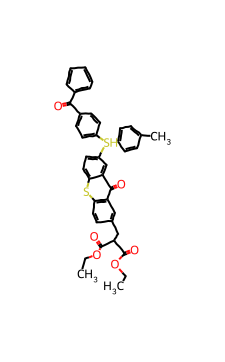 CCOC(=O)C(Cc1ccc2sc3ccc([SH](c4ccc(C)cc4)c4ccc(C(=O)c5ccccc5)cc4)cc3c(=O)c2c1)C(=O)OCC